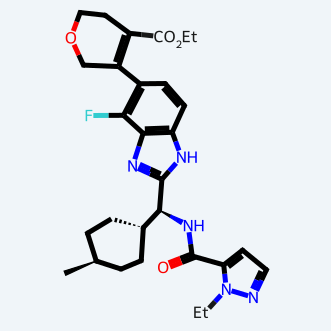 CCOC(=O)C1=C(c2ccc3[nH]c([C@@H](NC(=O)c4ccnn4CC)[C@H]4CC[C@H](C)CC4)nc3c2F)COCC1